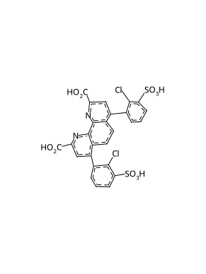 O=C(O)c1cc(-c2cccc(S(=O)(=O)O)c2Cl)c2ccc3c(-c4cccc(S(=O)(=O)O)c4Cl)cc(C(=O)O)nc3c2n1